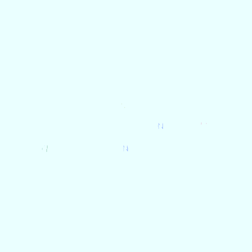 ClC1C=CC2SC(N3CCOCC3)=NC2C1